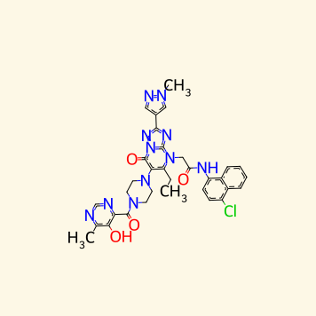 CCc1c(N2CCN(C(=O)c3ncnc(C)c3O)CC2)c(=O)n2nc(-c3cnn(C)c3)nc2n1CC(=O)Nc1ccc(Cl)c2ccccc12